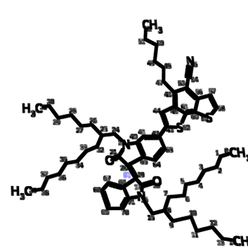 CCCCCCCCC(CCCCCC)CN1C(=O)/C(=C2/C(=O)N(CC(CCCCCC)CCCCCCCC)c3cc(-c4cc5c(CCCCCC)c(C#N)c6ccsc6c5s4)ccc32)c2ccccc21